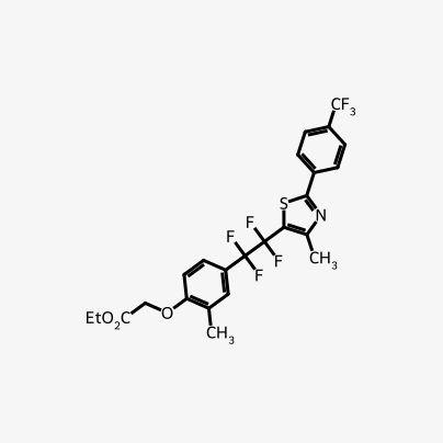 CCOC(=O)COc1ccc(C(F)(F)C(F)(F)c2sc(-c3ccc(C(F)(F)F)cc3)nc2C)cc1C